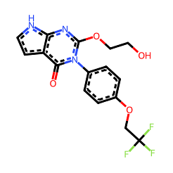 O=c1c2cc[nH]c2nc(OCCO)n1-c1ccc(OCC(F)(F)F)cc1